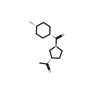 CC(=O)[C@H]1CCN(C(=O)[C@H]2CC[C@@H](C)CC2)C1